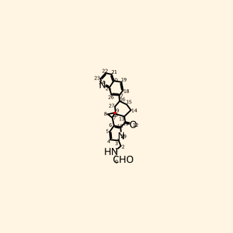 O=CNCc1ccc(C2CC2)c(C(=O)C2CCC(c3ccc4cccnc4c3)CC2)n1